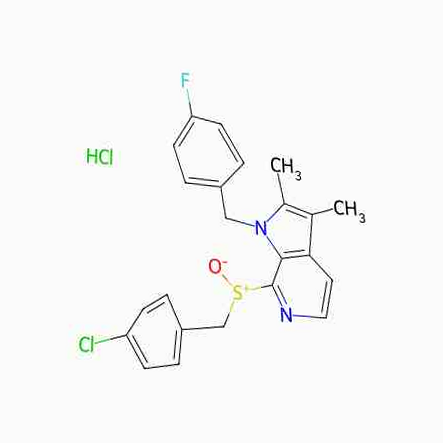 Cc1c(C)n(Cc2ccc(F)cc2)c2c([S+]([O-])Cc3ccc(Cl)cc3)nccc12.Cl